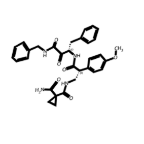 COc1ccc([C@H](CNC(=O)C2(C(N)=O)CC2)C(=O)N[C@@H](Cc2ccccc2)C(=O)C(=O)NCc2ccccc2)cc1